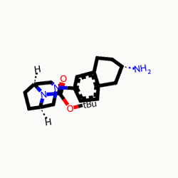 CC(C)(C)OC(=O)N1[C@@H]2CC[C@H]1CN(c1ccc3c(c1)CC[C@H](N)C3)C2